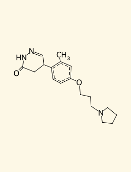 Cc1cc(OCCCN2CCCC2)ccc1C1C=NNC(=O)C1